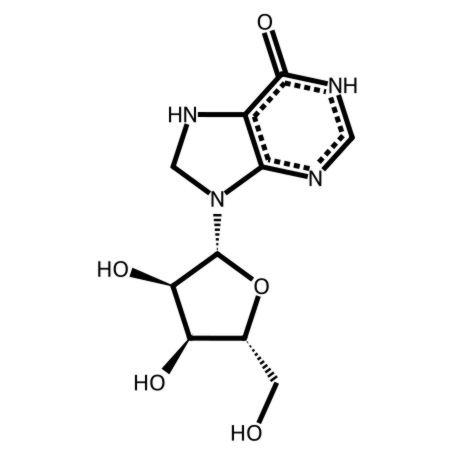 O=c1[nH]cnc2c1NCN2[C@@H]1O[C@H](CO)[C@@H](O)[C@H]1O